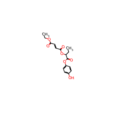 CCOC(=O)C=CC(=O)OC(CC)C(=O)Oc1ccc(O)cc1